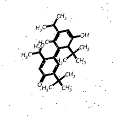 CC1=C(C(C)C)C=C(O)C(C(C)(C)C)C1=C1C=C(C(C)(C)C)C(=O)C=C1C(C)C